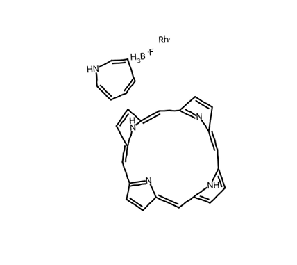 B.C1=CC=CNC=C1.C1=Cc2cc3ccc(cc4nc(cc5ccc(cc1n2)[nH]5)C=C4)[nH]3.[F].[Rh]